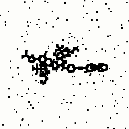 COC(=O)N[C@H](C(=O)N[C@@H](Cc1ccc(C#Cc2ccc(C3CC4CCC(C3)N4C3COC3)nc2)cc1)[C@@H](O)CN(Cc1c(F)cc(-c2ccn(C(F)F)n2)cc1F)NC(=O)[C@@H](NC(=O)OC)C(C)(C)C(F)(F)F)C(C)(C)C(F)(F)F